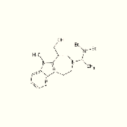 CCN(CC)C(C)N1CCc2c(n(C)c3ccccc23)C(CO)C1